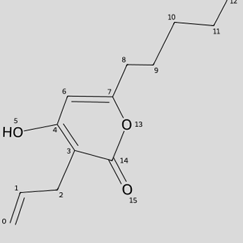 C=CCc1c(O)cc(CCCCC)oc1=O